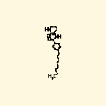 CCCCCCCCc1ccc(C(=O)N[C@@H]2CCCNC2=O)cc1